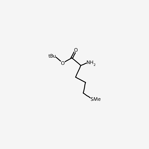 CSCCCC(N)C(=O)OC(C)(C)C